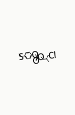 CSc1ccc(OC(=O)OCC(C)CCl)cc1